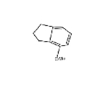 COc1cccc2c1[CH]CC2